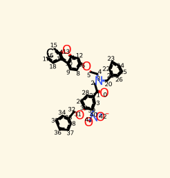 O=C(CN(CCOc1ccc2c(c1)oc1ccccc12)Cc1ccccc1)c1ccc(OCc2ccccc2)c([N+](=O)[O-])c1